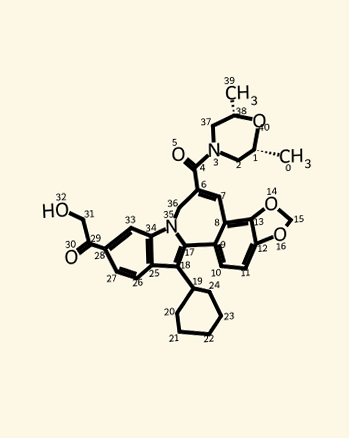 C[C@@H]1CN(C(=O)C2=Cc3c(ccc4c3OCO4)-c3c(C4CCCCC4)c4ccc(C(=O)CO)cc4n3C2)C[C@H](C)O1